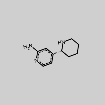 Nc1cc([C@H]2CCCCN2)ccn1